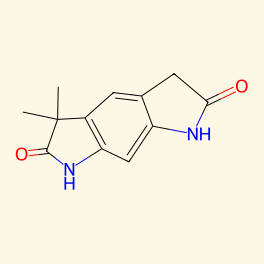 CC1(C)C(=O)Nc2cc3c(cc21)CC(=O)N3